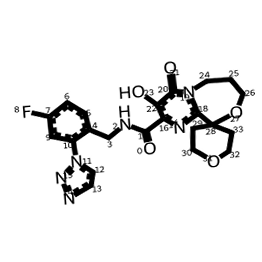 O=C(NCc1ccc(F)cc1-n1ccnn1)c1nc2n(c(=O)c1O)CCCOC21CCOCC1